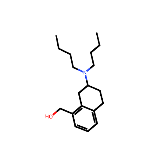 CCCCN(CCCC)C1CCc2cccc(CO)c2C1